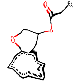 CCC(=O)OC1COc2ccccc21